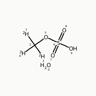 O.[2H]C([2H])([2H])OS(=O)(=O)O